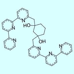 OC1(Cc2cccc(-c3cccc(-c4ccccn4)n3)n2)CCCC(O)(Cc2cccc(-c3cccc(-c4ccccn4)n3)n2)C1